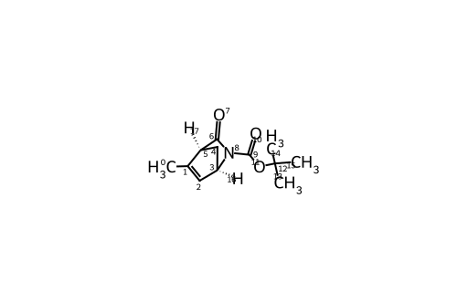 CC1=C[C@H]2C[C@@H]1C(=O)N2C(=O)OC(C)(C)C